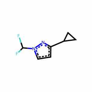 FC(F)n1ccc([C]2CC2)n1